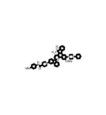 CCCCc1ccc(NC(=O)C2CCN(c3ccc(C4(c5ccccc5)C=Cc5c6c(c7cc(N8CCN(c9ccccc9)CC8)c(OC)cc7c5O4)-c4ccccc4C6(C)C)cc3)CC2)cc1